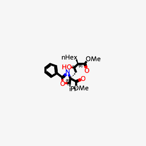 CCCCCC[C@@H](C(=O)OC)[C@H](O)C[C@@]1(C(=O)OC)N=C(c2ccccc2)O[C@H]1C(C)C